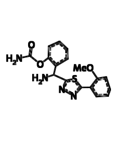 COc1ccccc1-c1nnc(C(N)c2ccccc2OC(N)=O)s1